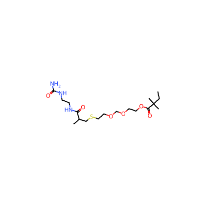 CCC(C)(C)C(=O)OCCOCOCCSCC(C)C(=O)NCCNC(N)=O